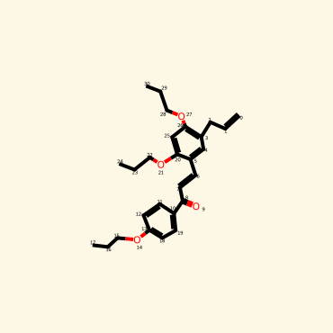 C=CCc1cc(C=CC(=O)c2ccc(OCCC)cc2)c(OCCC)cc1OCCC